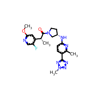 COc1cc([C@@H](C)C(=O)N2CC[C@H](Nc3ccc(-c4nnn(C)n4)c(C)n3)C2)c(F)cn1